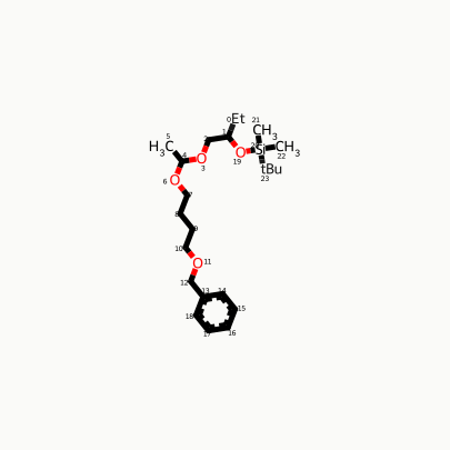 CCC(COC(C)OCCCCOCc1ccccc1)O[Si](C)(C)C(C)(C)C